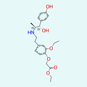 CCOC(=O)COc1ccc(CCN[C@@H](C)[C@@H](O)c2ccc(O)cc2)cc1OCC